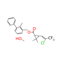 CO.Cc1c(COC(=O)C2C(/C=C(\Cl)C(F)(F)F)C2(C)C)cccc1-c1ccccc1